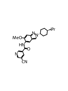 COc1cc2nn([C@H]3CC[C@H](C(C)C)CC3)cc2cc1NC(=O)c1cncc(C#N)c1